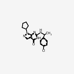 CC(Nc1nc2c(cnn2C2CCCC2)c(=O)[nH]1)c1ccc(Cl)cc1